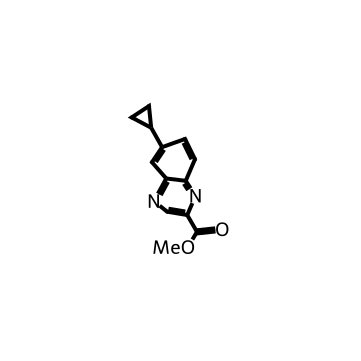 COC(=O)c1cnc2cc(C3CC3)ccc2n1